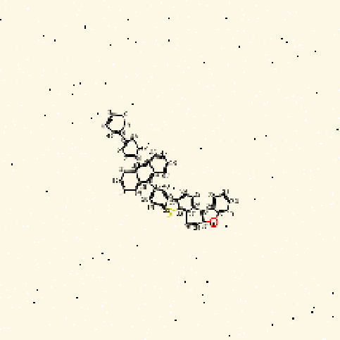 C1=CCCC(C2=CC=C(c3c4ccccc4c(-c4ccc5sc6c(ccc7c6ccc6oc8ccccc8c67)c5c4)c4ccccc34)CC2)=C1